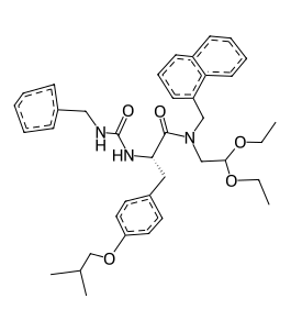 CCOC(CN(Cc1cccc2ccccc12)C(=O)[C@H](Cc1ccc(OCC(C)C)cc1)NC(=O)NCc1ccccc1)OCC